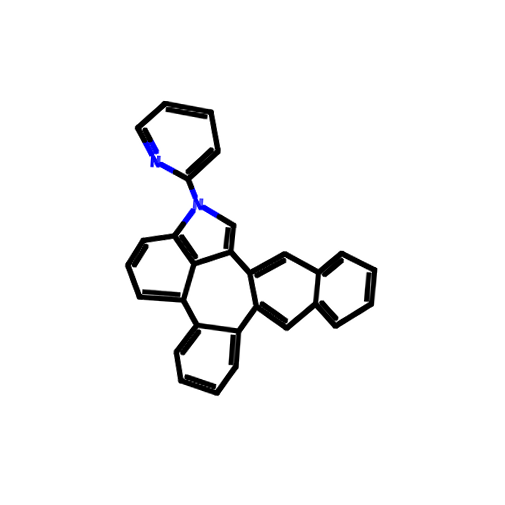 c1ccc(-n2cc3c4c(cccc42)-c2ccccc2-c2cc4ccccc4cc2-3)nc1